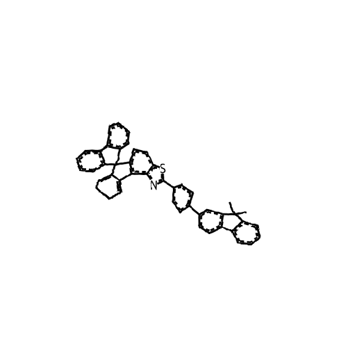 CC1(C)c2ccccc2-c2ccc(-c3ccc(-c4nc5c6c(ccc5s4)C4(C5=CCCC=C56)c5ccccc5-c5ccccc54)cc3)cc21